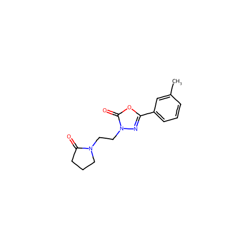 Cc1cccc(-c2nn(CCN3CCCC3=O)c(=O)o2)c1